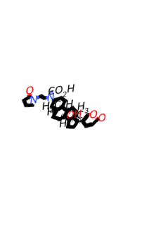 C[C@]12CC[C@H](N(CCN3CCCC3=O)C(=O)O)C[C@H]1CC[C@@H]1[C@@H]2CC[C@]2(C)[C@@H](c3ccc(=O)oc3)CC[C@]12O